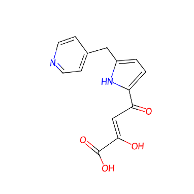 O=C(O)/C(O)=C/C(=O)c1ccc(Cc2ccncc2)[nH]1